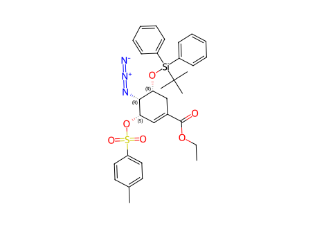 CCOC(=O)C1=C[C@H](OS(=O)(=O)c2ccc(C)cc2)[C@H](N=[N+]=[N-])[C@H](O[Si](c2ccccc2)(c2ccccc2)C(C)(C)C)C1